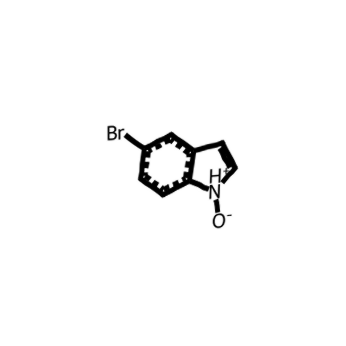 [O-][NH+]1C=Cc2cc(Br)ccc21